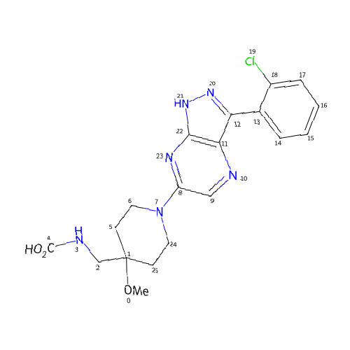 COC1(CNC(=O)O)CCN(c2cnc3c(-c4ccccc4Cl)n[nH]c3n2)CC1